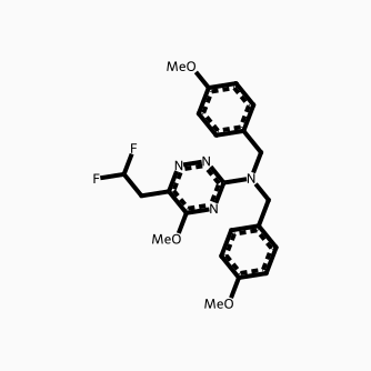 COc1ccc(CN(Cc2ccc(OC)cc2)c2nnc(CC(F)F)c(OC)n2)cc1